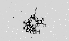 CCCCCCOC1COc2cc(C(C)(C)C)c(CCl)cc2OCC(OP(=O)(O)Oc2ccccc2)COc2cc(CCl)c(C(C)(C)C)cc2OC1